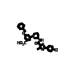 Cc1nc(-c2ccc(Cl)cc2)sc1C(=O)NC1CCCN(c2cc(OCc3ccccc3)cc(C(=O)O)c2)C1